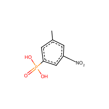 Cc1cc([N+](=O)[O-])cc(P(=O)(O)O)c1